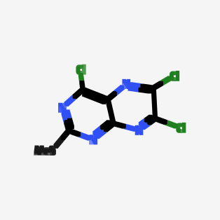 CSc1nc(Cl)c2nc(Cl)c(Cl)nc2n1